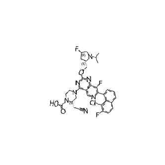 CC(C)N1C[C@H](F)C[C@H]1COc1nc(N2CCN(C(=O)O)[C@@H](CC#N)C2)c2cnc(-c3cccc4ccc(F)c(Cl)c34)c(F)c2n1